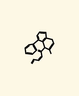 C=C/C=C\C(=C)C1C(C)=CCc2cccc(-c3ccccc3)c21